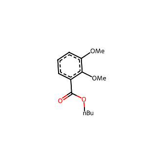 CCCCOC(=O)c1cccc(OC)c1OC